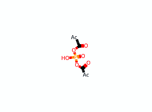 CC(=O)C(=O)OP(=O)(O)OC(=O)C(C)=O